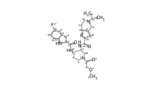 COCC(=O)N1CC[C@H](NC(=O)c2cc3cc(F)ccc3[nH]2)[C@H](NC(=O)c2nc3c(s2)CN(C(C)C)CC3)C1